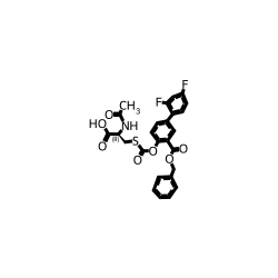 CC(=O)N[C@@H](CSC(=O)Oc1ccc(-c2ccc(F)cc2F)cc1C(=O)OCc1ccccc1)C(=O)O